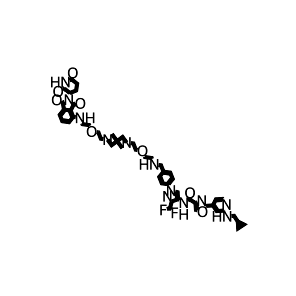 O=C1CCC(N2C(=O)c3cccc(NCCOCCN4CC5(CN(CCOCCNCc6ccc(-n7cc(NC(=O)c8coc(-c9ccnc(NCC%10CC%10)c9)n8)c(C(F)F)n7)cc6)C5)C4)c3C2=O)C(=O)N1